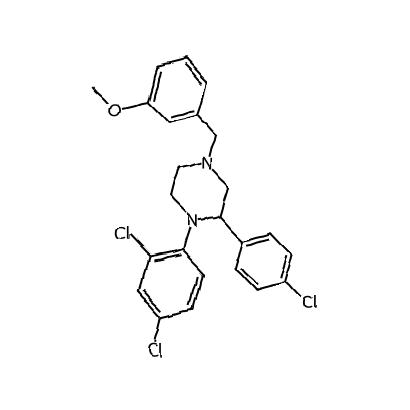 COc1cccc(CN2CCN(c3ccc(Cl)cc3Cl)C(c3ccc(Cl)cc3)C2)c1